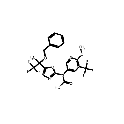 COc1ncc(N(C(=O)O)c2nnc(C(C)(OCc3ccccc3)C(F)(F)F)o2)cc1C(F)(F)F